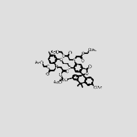 CC(=O)OCOC(=O)CN(CC(=O)OCOC(C)=O)c1ccc(C)cc1OCCOc1cc2c(cc1N(CC(=O)OCOC(C)=O)CC(=O)OCOC(C)=O)C(=O)OC21c2ccc(OC(C)=O)cc2C(C)(C)c2cc(OC(C)=O)ccc21